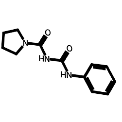 O=C(NC(=O)N1CCCC1)Nc1ccccc1